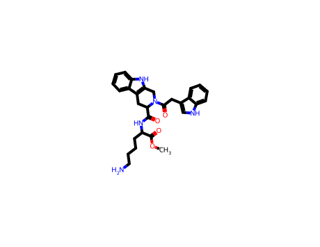 COC(=O)C(CCCCN)NC(=O)C1Cc2c([nH]c3ccccc23)CN1C(=O)Cc1c[nH]c2ccccc12